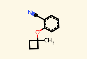 CC1(Oc2ccccc2C#N)CCC1